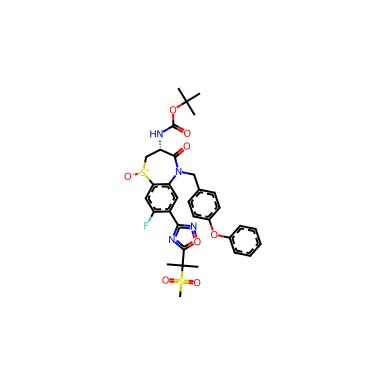 CC(C)(C)OC(=O)N[C@H]1C[S+]([O-])c2cc(F)c(-c3noc(C(C)(C)S(C)(=O)=O)n3)cc2N(Cc2ccc(Oc3ccccc3)cc2)C1=O